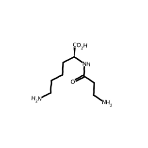 NCCCC[C@H](NC(=O)CCN)C(=O)O